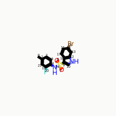 Cc1ccc(NS(=O)(=O)c2c[nH]c3cc(Br)ccc23)c(F)c1